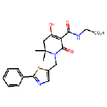 CC1(C)CC(O)=C(C(=O)NCC(=O)O)C(=O)N1Cc1cnc(-c2ccccc2)s1